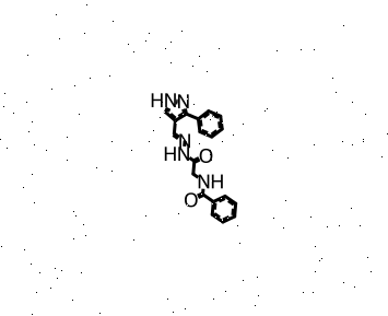 O=C(CNC(=O)c1ccccc1)N/N=C/c1c[nH]nc1-c1ccccc1